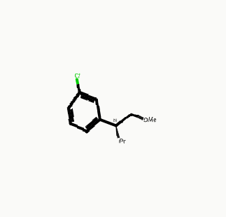 COC[C@H](c1cccc(Cl)c1)C(C)C